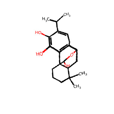 CC(C)c1cc2c(c(O)c1O)C13CCCC(C)(C)C1CC2OC3O